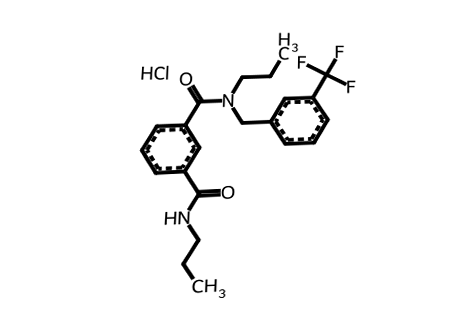 CCCNC(=O)c1cccc(C(=O)N(CCC)Cc2cccc(C(F)(F)F)c2)c1.Cl